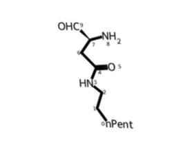 CCCCCCCNC(=O)C[C@H](N)C=O